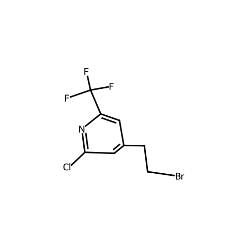 FC(F)(F)c1cc(CCBr)cc(Cl)n1